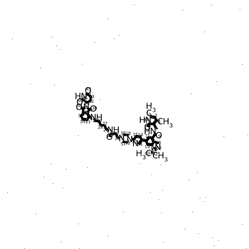 Cc1cc(C)c(CNC(=O)c2cc(-c3ccc(N4CCN(CCC(=O)NCCCCCNc5cccc6c5C(=O)N(C5CCC(=O)NC5=O)C6=O)CC4)nc3)cc3c2cnn3C(C)C)c(=O)[nH]1